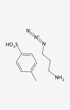 Cc1ccc(S(=O)(=O)O)cc1.[N-]=[N+]=NCCCN